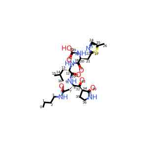 CCCCNC(=O)C[C@H](NC(=O)[C@H](CC(C)C)NC(=O)[C@H](Cc1ncc(C)s1)NC(=O)O)C(=O)[C@@H]1CCNC1=O